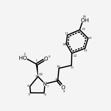 O=C(O)[C@@H]1CCCN1C(=O)CCc1ccc(O)cc1